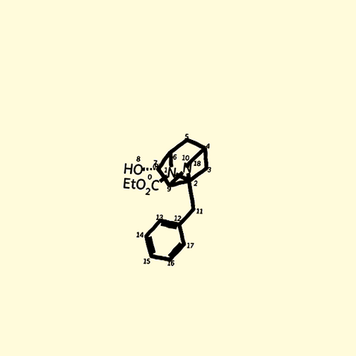 CCOC(=O)N1C2CC3CC1[C@@H](O)C2N(Cc1ccccc1)C3